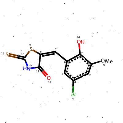 COc1cc(Br)cc(/C=C2/SC(=S)NC2=O)c1O